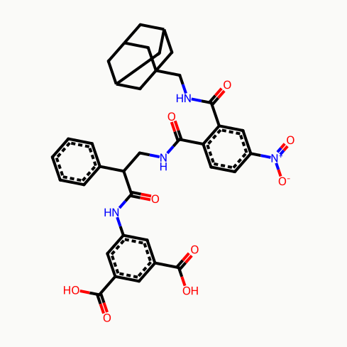 O=C(O)c1cc(NC(=O)C(CNC(=O)c2ccc([N+](=O)[O-])cc2C(=O)NCC23CC4CC(CC(C4)C2)C3)c2ccccc2)cc(C(=O)O)c1